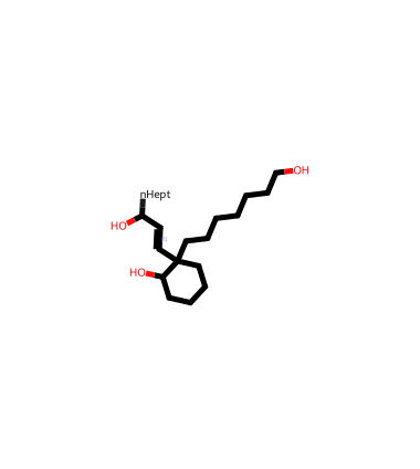 CCCCCCCC(O)/C=C/C1(CCCCCCCO)CCCCC1O